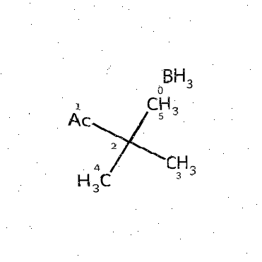 B.CC(=O)C(C)(C)C